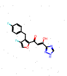 O=C(C=C(O)c1nc[nH]n1)c1occ(F)c1Cc1ccc(F)cc1